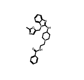 Cc1ncc(Cn2c(NC3CCN(CCNC(=O)c4ccccc4)CC3)nc3ccccc32)o1